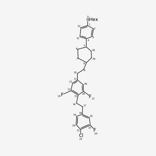 CCCCCCc1ccc(C2CCC(CCc3cc(F)c(CCc4ccc(Cl)c(F)c4)c(F)c3)CC2)cc1